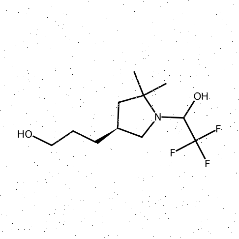 CC1(C)C[C@H](CCCO)CN1C(O)C(F)(F)F